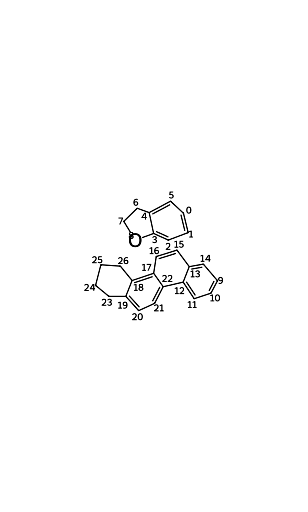 c1ccc2c(c1)CCO2.c1ccc2c(c1)ccc1c3c(ccc12)CCCC3